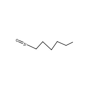 CCCCC[CH2][Zr]=[O]